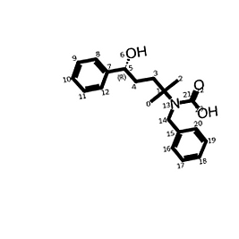 CC(C)(CC[C@@H](O)c1ccccc1)N(Cc1ccccc1)C(=O)O